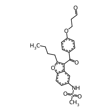 CCCCc1oc2ccc(NS(C)(=O)=O)cc2c1C(=O)c1ccc(OCCC=O)cc1